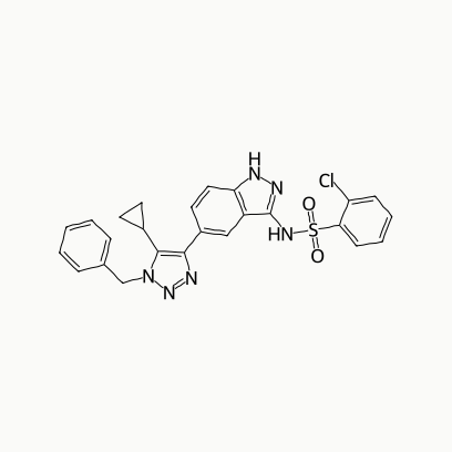 O=S(=O)(Nc1n[nH]c2ccc(-c3nnn(Cc4ccccc4)c3C3CC3)cc12)c1ccccc1Cl